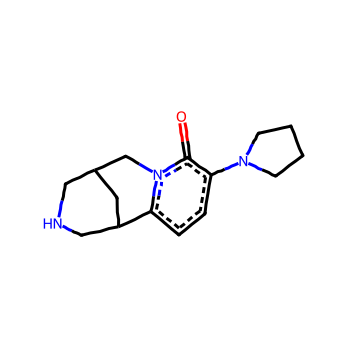 O=c1c(N2CCCC2)ccc2n1CC1CNCC2C1